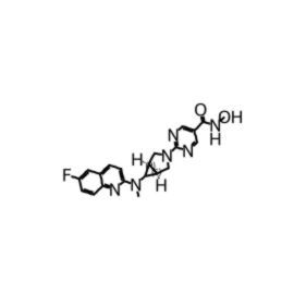 CN(c1ccc2cc(F)ccc2n1)C1[C@H]2CN(c3ncc(C(=O)NO)cn3)C[C@@H]12